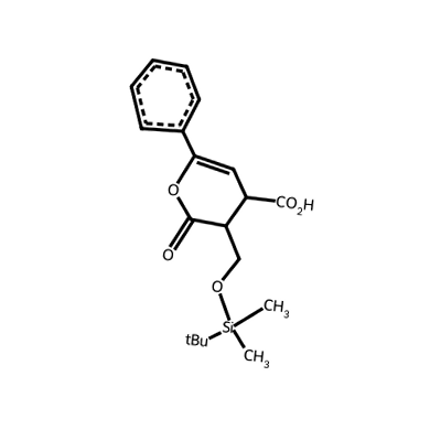 CC(C)(C)[Si](C)(C)OCC1C(=O)OC(c2ccccc2)=CC1C(=O)O